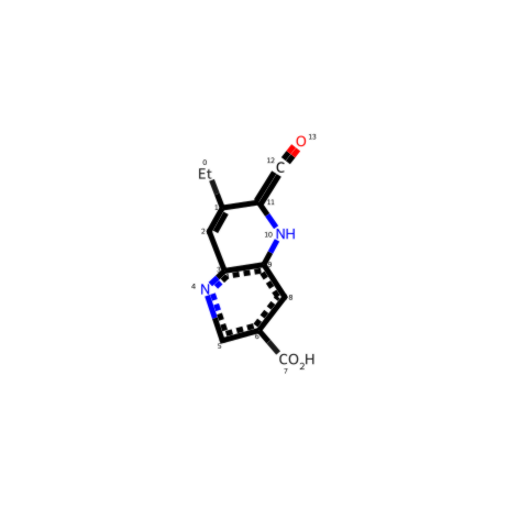 CCC1=Cc2ncc(C(=O)O)cc2NC1=C=O